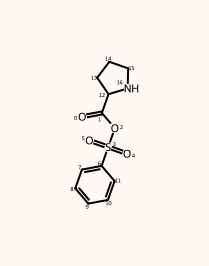 O=C(OS(=O)(=O)c1ccccc1)C1CCCN1